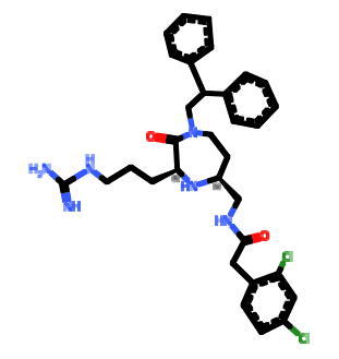 N=C(N)NCCC[C@@H]1N[C@H](CNC(=O)Cc2ccc(Cl)cc2Cl)CCN(CC(c2ccccc2)c2ccccc2)C1=O